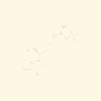 CS(=O)(=O)NC(=N)NCCC[C@H](N)C(=O)N1CCC[C@H]1C#N